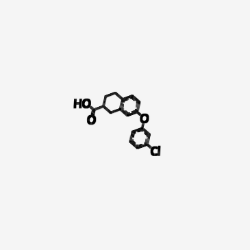 O=C(O)C1CCc2ccc(Oc3cccc(Cl)c3)cc2C1